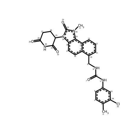 Cc1ccc(NC(=O)NCc2cccc3c2ccc2c3n(C)c(=O)n2C2CCC(=O)NC2=O)cc1Cl